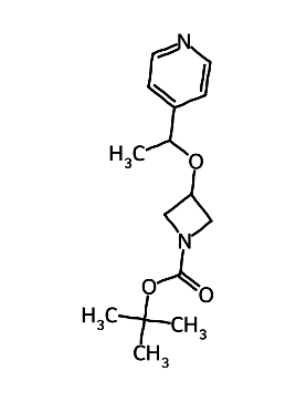 CC(OC1CN(C(=O)OC(C)(C)C)C1)c1ccncc1